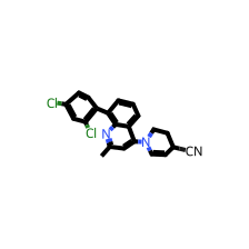 Cc1cc(N2C=CC(C#N)CC2)c2cccc(-c3ccc(Cl)cc3Cl)c2n1